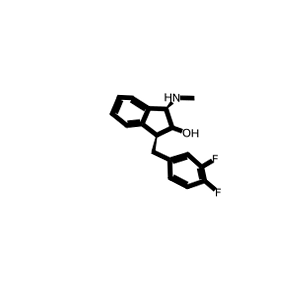 CN[C@@H]1c2ccccc2[C@H](Cc2ccc(F)c(F)c2)C1O